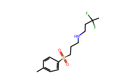 Cc1ccc(S(=O)(=O)CCCNCCC(C)(F)F)cc1